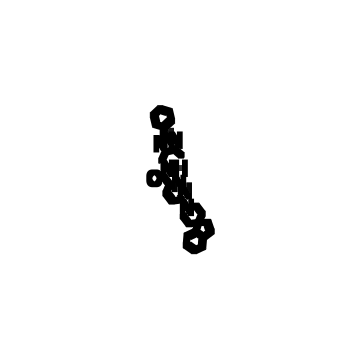 Cc1nn(-c2ccccc2)nc1CNC(=O)c1ccc(N2CCC3(C=Cc4ccccc43)CC2)nn1